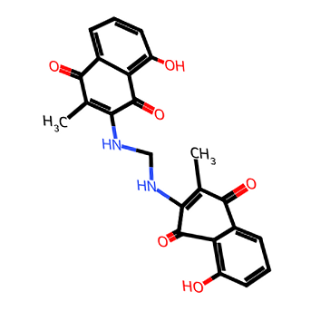 CC1=C(NCNC2=C(C)C(=O)c3cccc(O)c3C2=O)C(=O)c2c(O)cccc2C1=O